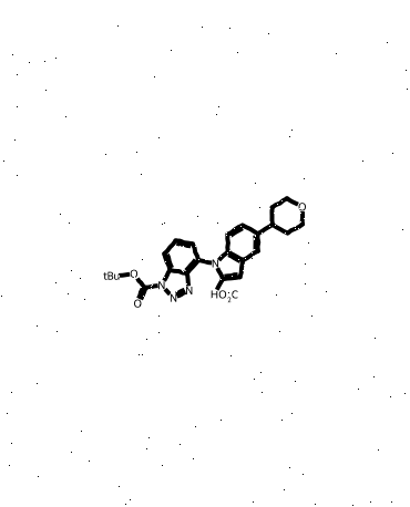 CC(C)(C)OC(=O)n1nnc2c(-n3c(C(=O)O)cc4cc(C5CCOCC5)ccc43)cccc21